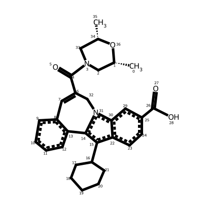 C[C@@H]1CN(C(=O)C2=Cc3ccccc3-c3c(C4CCCCC4)c4ccc(C(=O)O)cc4n3C2)C[C@H](C)O1